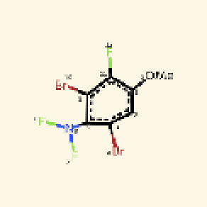 COc1cc(Br)c(N(F)F)c(Br)c1F